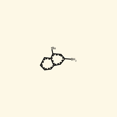 Bc1cc(C(C)(C)C)c2ccccc2c1